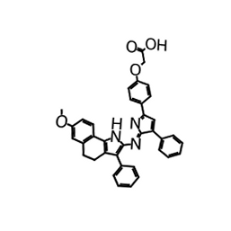 COc1ccc2c(c1)CCc1c-2[nH]c(/N=C2\N=C(c3ccc(OCC(=O)O)cc3)C=C2c2ccccc2)c1-c1ccccc1